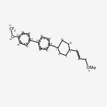 COCC=CC1CCC(c2ccc(-c3ccc(OC(F)(F)F)cc3)cc2)CC1